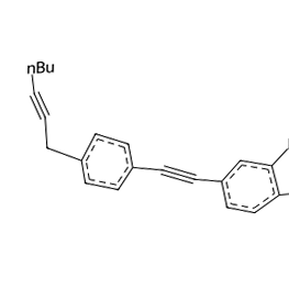 CCCCC#CCc1ccc(C#Cc2ccc(C)c(F)c2)cc1